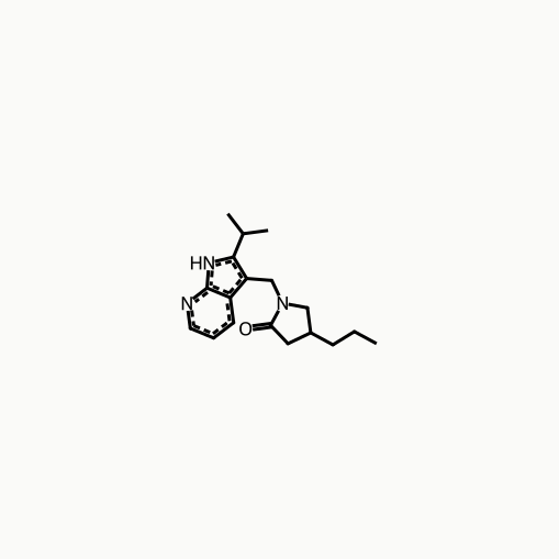 CCCC1CC(=O)N(Cc2c(C(C)C)[nH]c3ncccc23)C1